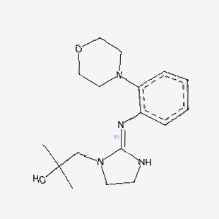 CC(C)(O)CN1CCN/C1=N\c1ccccc1N1CCOCC1